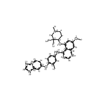 COc1cc(OC2CCN(C)CC2(F)F)c2c(Nc3ccc(Oc4ccn5ncnc5c4)c(C)c3)ncnc2c1